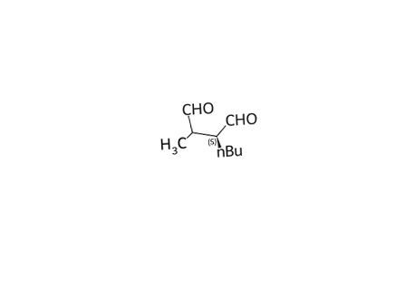 CCCC[C@H](C=O)C(C)C=O